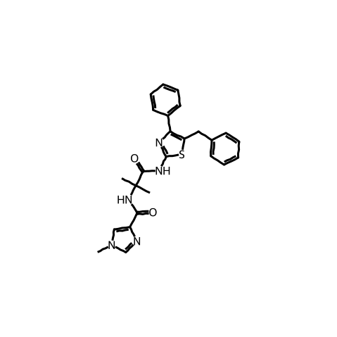 Cn1cnc(C(=O)NC(C)(C)C(=O)Nc2nc(-c3ccccc3)c(Cc3ccccc3)s2)c1